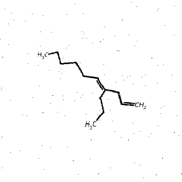 C=CC/C(=C/CCCCC)CCC